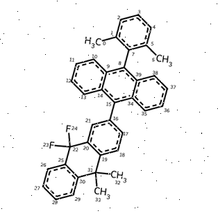 Cc1cccc(C)c1-c1c2ccccc2c(-c2ccc3c(c2)C(F)(F)c2ccccc2C3(C)C)c2ccccc12